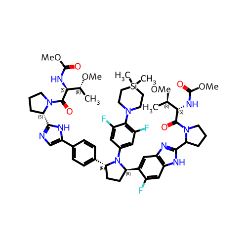 COC(=O)N[C@H](C(=O)N1CCCC1c1nc2cc([C@H]3CC[C@H](c4ccc(-c5cnc([C@@H]6CCCN6C(=O)[C@@H](NC(=O)OC)[C@@H](C)OC)[nH]5)cc4)N3c3cc(F)c(N4CC[Si](C)(C)CC4)c(F)c3)c(F)cc2[nH]1)[C@@H](C)OC